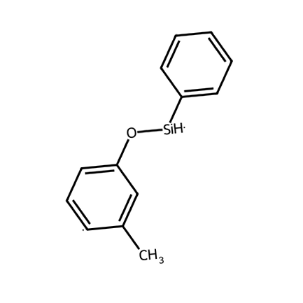 Cc1[c]ccc(O[SiH]c2ccccc2)c1